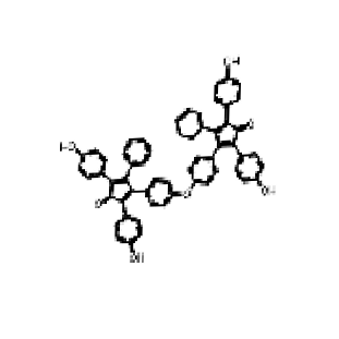 O=C1C(c2ccc(O)cc2)=C(C2=CC=CCC2)C(c2ccc(Oc3ccc(C4=C(c5ccc(O)cc5)C(=O)C(c5ccc(O)cc5)=C4c4ccccc4)cc3)cc2)=C1c1ccc(O)cc1